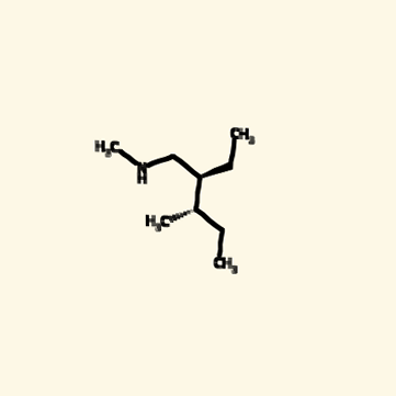 CC[C@H](CNC)[C@@H](C)CC